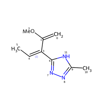 C=C(OC)/C(=C\C)c1nnc(C)[nH]1